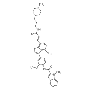 COc1cc(-c2csc3c(/C=C/C(=O)NCCCN4CCN(C)CC4)cnc(N)c23)ccc1NC(=O)c1cc2ccccc2n1C